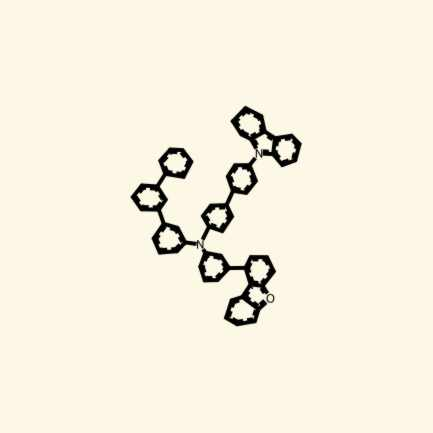 c1ccc(-c2cccc(-c3cccc(N(c4ccc(-c5ccc(-n6c7ccccc7c7ccccc76)cc5)cc4)c4cccc(-c5cccc6oc7ccccc7c56)c4)c3)c2)cc1